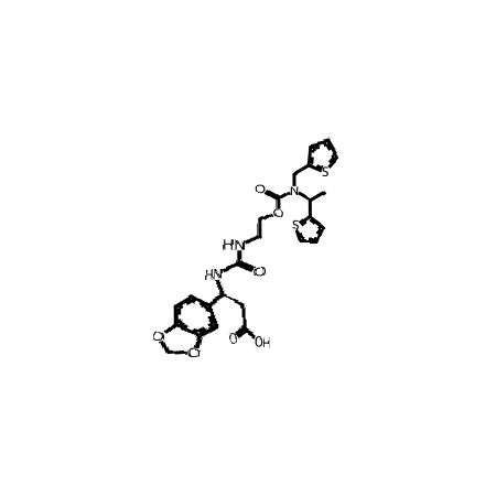 CC(c1cccs1)N(Cc1cccs1)C(=O)OCCNC(=O)N[C@@H](CC(=O)O)c1ccc2c(c1)OCO2